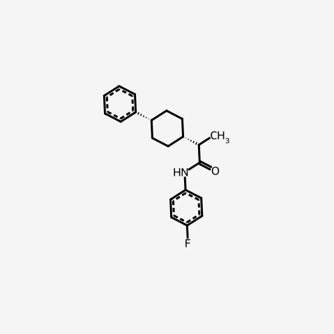 CC(C(=O)Nc1ccc(F)cc1)[C@H]1CC[C@@H](c2ccccc2)CC1